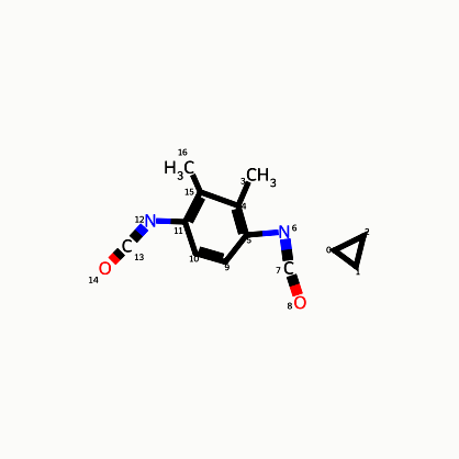 C1CC1.Cc1c(N=C=O)ccc(N=C=O)c1C